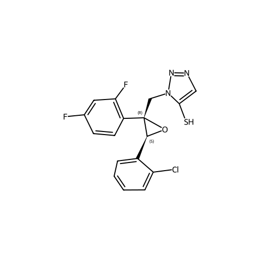 Fc1ccc([C@]2(Cn3nncc3S)O[C@H]2c2ccccc2Cl)c(F)c1